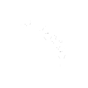 Cn1c(Nc2nc3ccc(OC(F)(F)F)cc3s2)nc2cc(C(=O)OCCC(N)=O)ccc21